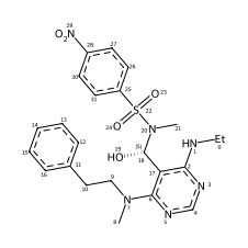 CCNc1ncnc(N(C)CCc2ccccc2)c1[C@H](O)N(C)S(=O)(=O)c1ccc([N+](=O)[O-])cc1